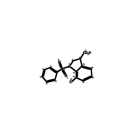 O=C(O)C1CN(S(=O)(=O)c2ccccc2)c2c(Cl)cccc21